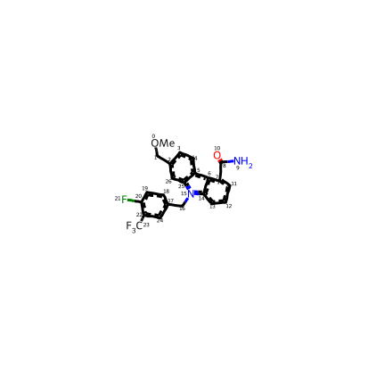 COCc1c[c]c2c3c(C(N)=O)cccc3n(Cc3ccc(F)c(C(F)(F)F)c3)c2c1